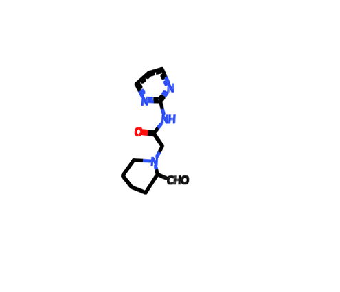 O=CC1CCCCN1CC(=O)Nc1ncccn1